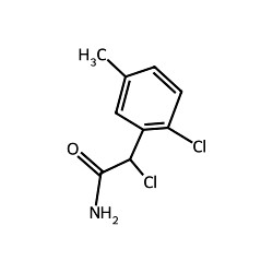 Cc1ccc(Cl)c(C(Cl)C(N)=O)c1